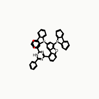 c1ccc(C2=NC(c3cccc4oc5c(-n6c7ccccc7c7ccccc76)cc(-n6c7ccccc7c7ccccc76)cc5c34)=NC(c3ccccc3)N2)cc1